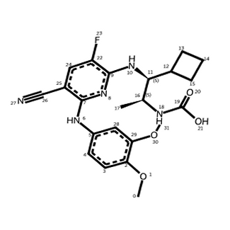 COc1ccc(Nc2nc(N[C@@H](C3CCC3)[C@H](C)NC(=O)O)c(F)cc2C#N)cc1OC